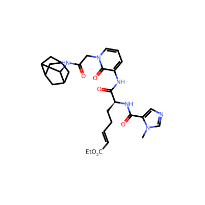 CCOC(=O)/C=C/CC[C@H](NC(=O)c1cncn1C)C(=O)Nc1cccn(CC(=O)NC2C3CC4CC(C3)C2C4)c1=O